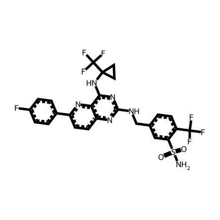 NS(=O)(=O)c1cc(CNc2nc(NC3(C(F)(F)F)CC3)c3nc(-c4ccc(F)cc4)ccc3n2)ccc1C(F)(F)F